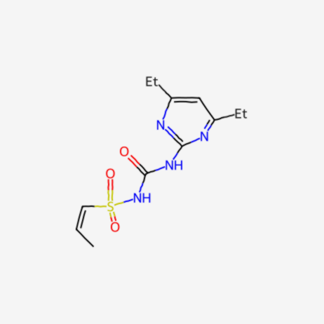 C/C=C\S(=O)(=O)NC(=O)Nc1nc(CC)cc(CC)n1